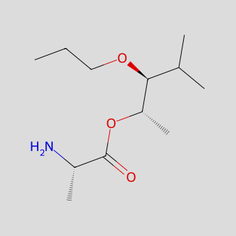 CCCO[C@@H](C(C)C)[C@H](C)OC(=O)[C@H](C)N